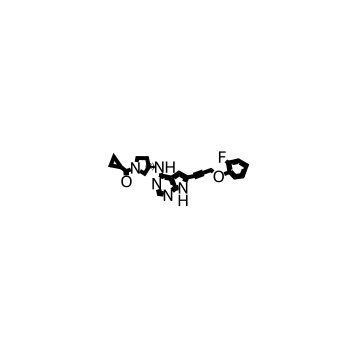 O=C(C1CC1)N1CC[C@@H](Nc2ncnc3[nH]c(C#CCOc4ccccc4F)cc23)C1